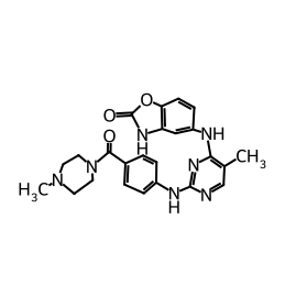 Cc1cnc(Nc2ccc(C(=O)N3CCN(C)CC3)cc2)nc1Nc1ccc2oc(=O)[nH]c2c1